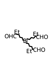 CCC(C=O)CCC[CH2][Bi]([CH2]CCCC(C=O)CC)[CH2]CCCC(C=O)CC